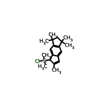 CC1=Cc2cc3c(cc2C1[Si](C)(C)Cl)C(C)(C)CC3(C)C